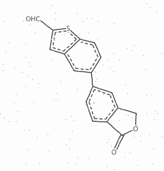 O=Cc1cc2cc(-c3ccc4c(c3)COC4=O)ccc2s1